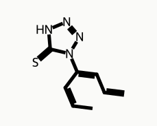 C=C/C=C(\C=C/C)n1nn[nH]c1=S